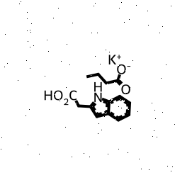 CCCC(=O)[O-].O=C(O)Cc1cc2ccccc2[nH]1.[K+]